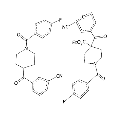 CCOC(=O)C1(C(=O)c2cccc(C#N)c2)CCN(C(=O)c2ccc(F)cc2)CC1.N#Cc1cccc(C(=O)C2CCN(C(=O)c3ccc(F)cc3)CC2)c1